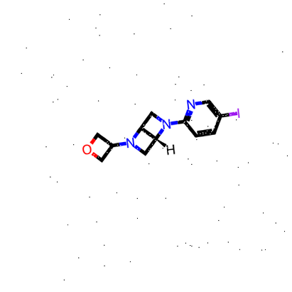 Ic1ccc(N2CC3[C@H]2CN3C2COC2)nc1